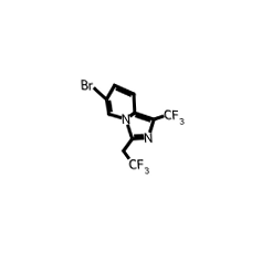 FC(F)(F)Cc1nc(C(F)(F)F)c2ccc(Br)cn12